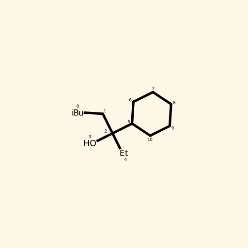 CCC(C)CC(O)(CC)C1CCCCC1